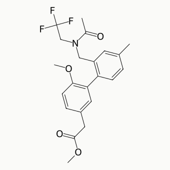 COC(=O)Cc1ccc(OC)c(-c2ccc(C)cc2CN(CC(F)(F)F)C(C)=O)c1